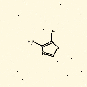 Bc1ncsc1C(C)C